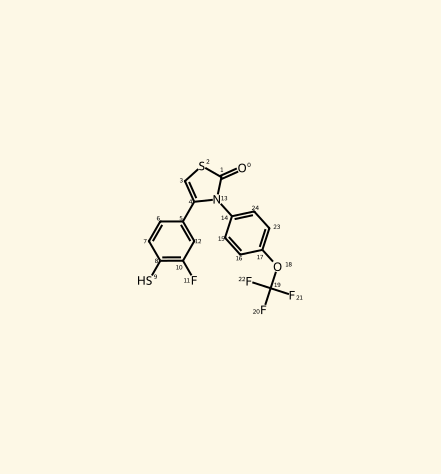 O=c1scc(-c2ccc(S)c(F)c2)n1-c1ccc(OC(F)(F)F)cc1